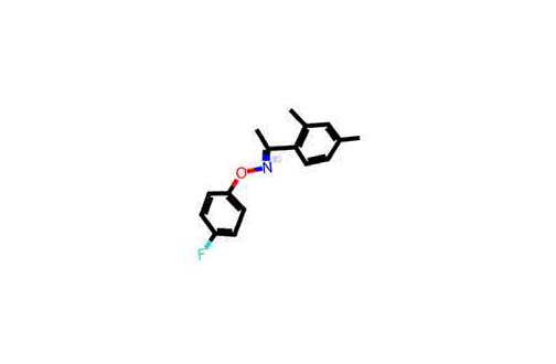 C/C(=N\Oc1ccc(F)cc1)c1ccc(C)cc1C